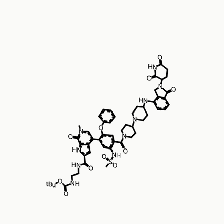 Cn1cc(-c2cc(NS(C)(=O)=O)c(C(=O)N3CCC(N4CCC(Nc5cccc6c5CN(C5CCC(=O)NC5=O)C6=O)CC4)CC3)cc2Oc2ccccc2)c2cc(C(=O)NCCNC(=O)OC(C)(C)C)[nH]c2c1=O